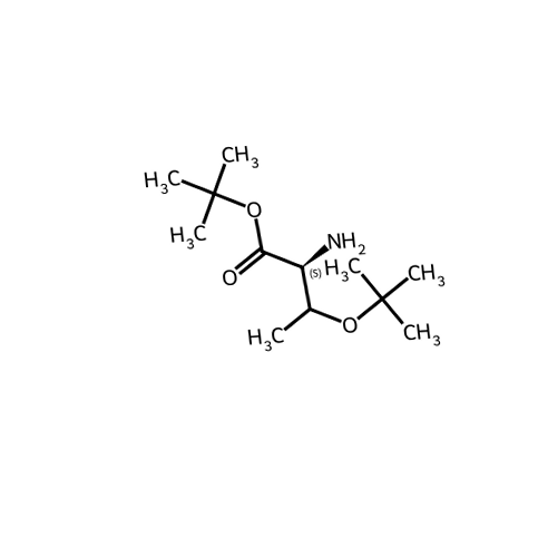 CC(OC(C)(C)C)[C@H](N)C(=O)OC(C)(C)C